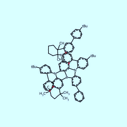 CC(C)(C)c1ccc(-c2ccc3c(c2)C2(C)CCCCC2(C)N3c2cc3c4c(c2)N(c2ccc(C(C)(C)C)cc2-c2ccccc2)c2cc5c(cc2B4c2cc(-c4ccccc4)ccc2N3c2ccc(C(C)(C)C)cc2-c2ccccc2)C(C)(C)CCC5(C)C)cc1